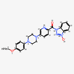 CCCCCCOc1ccc(N2CCN(c3ccc(C(=O)n4n[n+]([O-])c5ccccc54)nc3)CC2)cc1